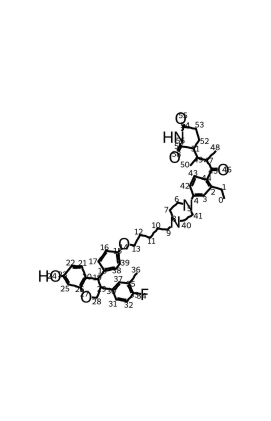 CCc1cc(N2CCN(CCCCCOc3ccc(C4c5ccc(O)cc5OCC4c4ccc(F)c(C)c4)cc3)CC2)ccc1C(=O)C(C)C(C)C1CCC(=O)NC1=O